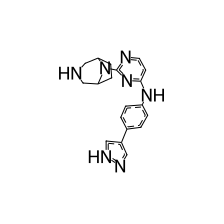 c1cc(Nc2ccc(-c3cn[nH]c3)cc2)nc(N2C3CCC2CNC3)n1